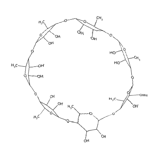 COC1C2OC(C)C(OC3OC(C)C(OC4OC(C)C(OC5OC(C)C(OC6OC(C)C(OC7OC(C)C(OC8OC(C)C(O2)C(O)C8O)C(O)C7O)C(O)C6O)C(O)C5O)C(O)C4O)C(O)C3O)C1O